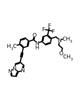 COCCN(C)Cc1ccc(NC(=O)c2ccc(C)c(C#Cc3cnc4ccnn4c3)c2)cc1C(F)(F)F